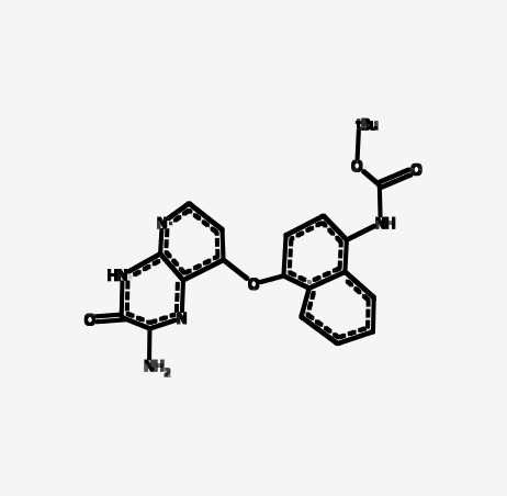 CC(C)(C)OC(=O)Nc1ccc(Oc2ccnc3[nH]c(=O)c(N)nc23)c2ccccc12